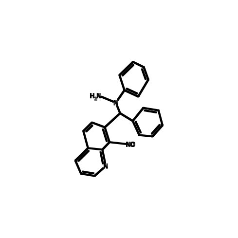 NN(c1ccccc1)C(c1ccccc1)c1ccc2cccnc2c1N=O